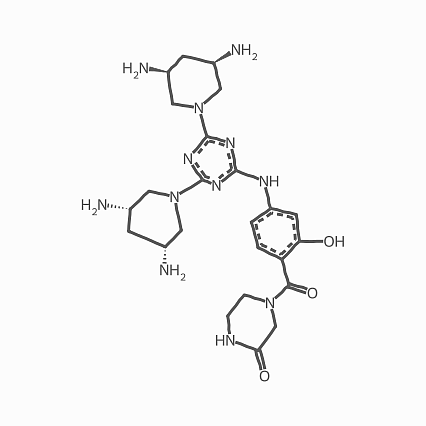 N[C@@H]1C[C@H](N)CN(c2nc(Nc3ccc(C(=O)N4CCNC(=O)C4)c(O)c3)nc(N3C[C@H](N)C[C@H](N)C3)n2)C1